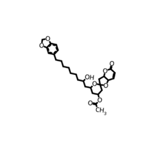 CC(=O)OC1CC(CC(O)CCCCCCCc2ccc3c(c2)OCO3)OC2(C1)CC1OC(=O)C=CC1O2